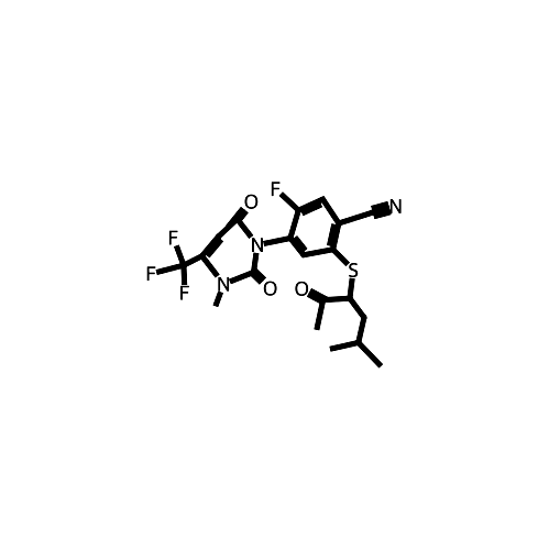 CC(=O)C(CC(C)C)Sc1cc(-n2c(=O)cc(C(F)(F)F)n(C)c2=O)c(F)cc1C#N